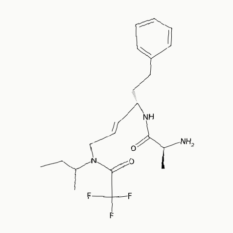 CCC(C)N(C/C=C/[C@H](CCc1ccccc1)NC(=O)[C@H](C)N)C(=O)C(F)(F)F